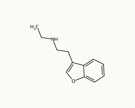 CCNCCc1coc2ccccc12